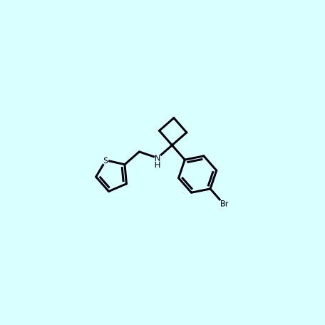 Brc1ccc(C2(NCc3cccs3)CCC2)cc1